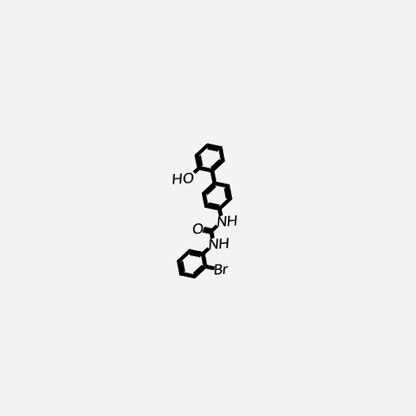 O=C(Nc1ccc(-c2ccccc2O)cc1)Nc1ccccc1Br